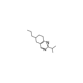 CCCC1CCc2nc(C(C)C)ncc2C1